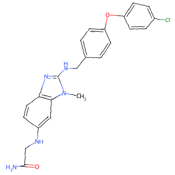 Cn1c(NCc2ccc(Oc3ccc(Cl)cc3)cc2)nc2ccc(NCC(N)=O)cc21